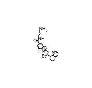 CCN(Cc1nc2cc(C(=O)NCCCN)ccc2[nH]1)C1CCCc2cccnc21